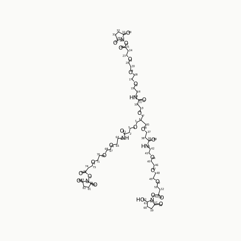 O=C(CCOCC(COCCC(=O)NCCOCCOCCOCCC(=O)ON1C(=O)CCC1=O)COCCC(=O)NCCOCCOCCOCCC(=O)ON1C(=O)CCC1O)NCCOCCOCCOCCC(=O)ON1C(=O)CCC1=O